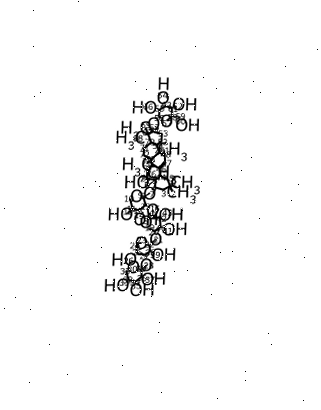 CC1(C)CC[C@@]2(CO[C@@H]3OC[C@H](O)[C@H](O)[C@H]3O[C@@H]3OC[C@H](O[C@@H]4OC[C@@H](O)[C@H](O[C@@H]5OC[C@@H](O)[C@H](O)[C@H]5O)[C@H]4O)[C@@H](O)[C@H]3O)C(C1)C1=CCC3[C@@]4(C)CC[C@H](O[C@@H]5O[C@H](CO)[C@@H](O)[C@H](O)[C@H]5O)C(C)(C)C4CC[C@@]3(C)[C@]1(C)C[C@H]2O